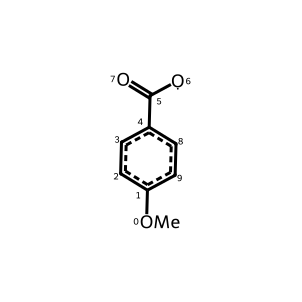 COc1ccc(C([O])=O)cc1